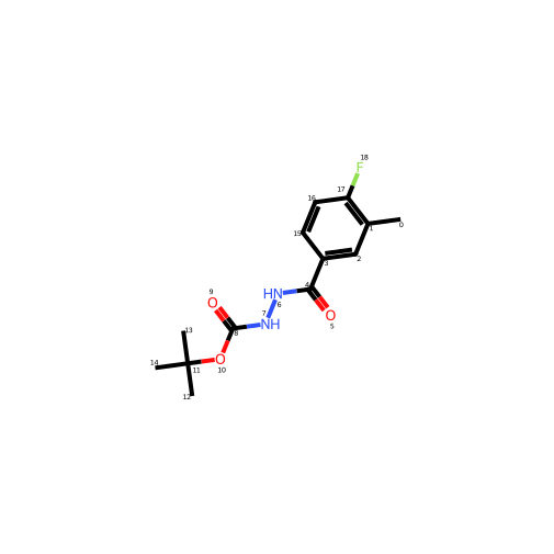 Cc1cc(C(=O)NNC(=O)OC(C)(C)C)ccc1F